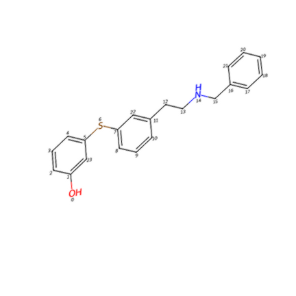 Oc1cccc(Sc2cccc(CCNCc3ccccc3)c2)c1